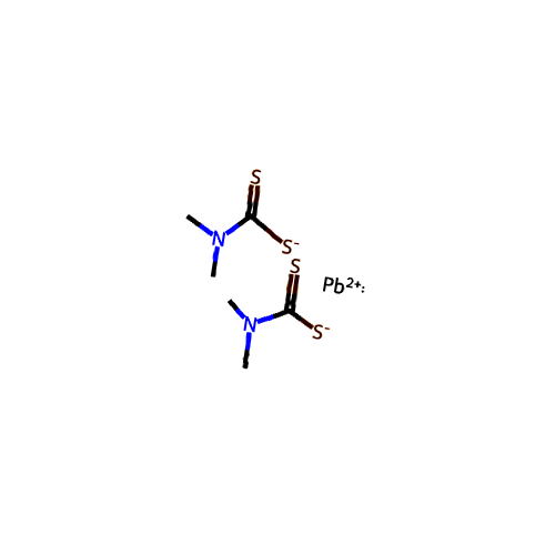 CN(C)C(=S)[S-].CN(C)C(=S)[S-].[Pb+2]